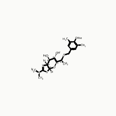 COc1c(C)cc(CO[C@@H](C)[C@H]2O[C@@H]3SC(N(C)C)=N[C@@H]3[C@@H](O)[C@@H]2O)cc1C